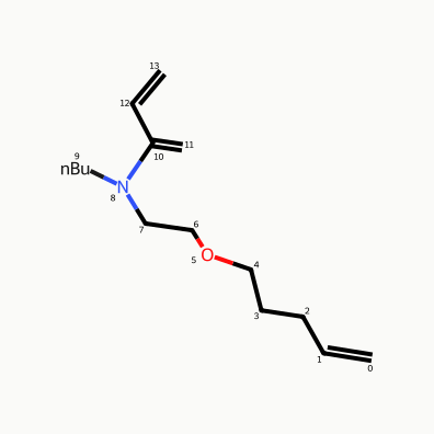 C=CCCCOCCN(CCCC)C(=C)C=C